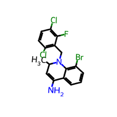 CC1C=C(N)c2cccc(Br)c2N1Cc1c(Cl)ccc(Cl)c1F